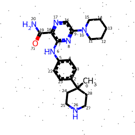 CC1(c2ccc(Nc3nc(N4CCCCC4)cnc3C(N)=O)cc2)CCNCC1